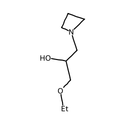 CCOCC(O)CN1CCC1